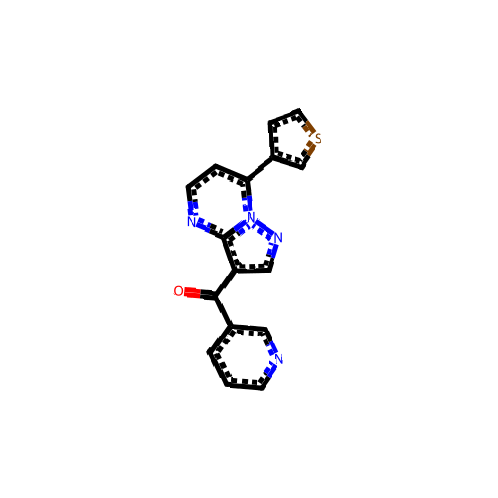 O=C(c1cccnc1)c1cnn2c(-c3ccsc3)ccnc12